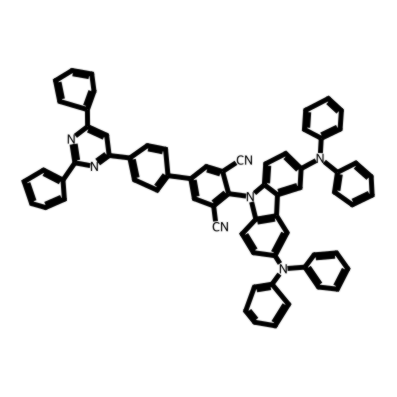 N#Cc1cc(-c2ccc(-c3cc(-c4ccccc4)nc(-c4ccccc4)n3)cc2)cc(C#N)c1-n1c2ccc(N(c3ccccc3)c3ccccc3)cc2c2cc(N(c3ccccc3)c3ccccc3)ccc21